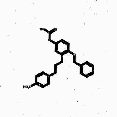 CC(C)(C)C(=O)Oc1ccc(OCc2ccccc2)c(CCCc2ccc(C(=O)O)cc2)c1